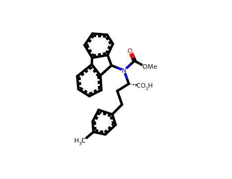 COC(=O)N(C1c2ccccc2-c2ccccc21)[C@@H](CCc1ccc(C)cc1)C(=O)O